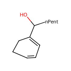 CCCCCC(O)C1=CC=CCC1